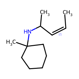 C/C=C\C(C)NC1(C)CCCCC1